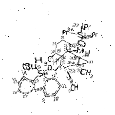 C#C[C@H]1[C@@H](CO[Si](c2ccccc2)(c2ccccc2)C(C)(C)C)[C@H]2[C@H]([C@@H](O[Si](C(C)C)(C(C)C)C(C)C)CC[C@@H]2C)[C@H]2C[C@]21C